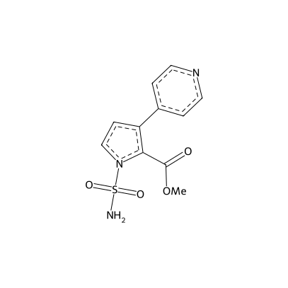 COC(=O)c1c(-c2ccncc2)ccn1S(N)(=O)=O